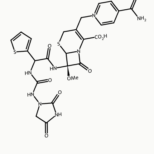 CO[C@]1(NC(=O)C(NC(=O)NN2CC(=O)NC2=O)c2cccs2)C(=O)N2C(C(=O)O)=C(C[n+]3ccc(C(N)=O)cc3)CSC21